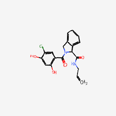 C=CCNC(=O)C1c2ccccc2CN1C(=O)c1cc(Cl)c(O)cc1O